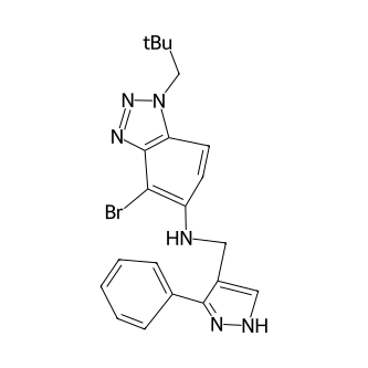 CC(C)(C)Cn1nnc2c(Br)c(NCc3c[nH]nc3-c3ccccc3)ccc21